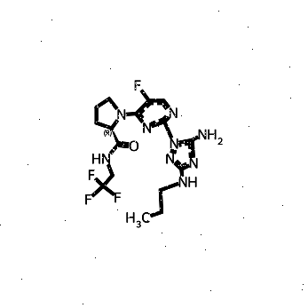 CCCNc1nc(N)n(-c2ncc(F)c(N3CCC[C@@H]3C(=O)NCC(F)(F)F)n2)n1